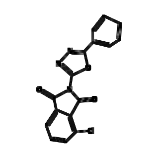 O=C1c2cccc(Cl)c2C(=O)N1c1nnc(-c2ccccc2)o1